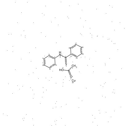 CC(=O)O.S=C(Nc1ccccc1)c1ccccc1.[Cu]